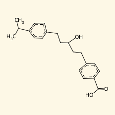 CC(C)c1ccc(CCC(O)CCc2ccc(C(=O)O)cc2)cc1